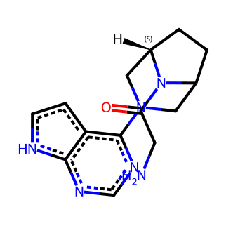 NCC(=O)N1C2CC[C@H]1CN(c1ncnc3[nH]ccc13)C2